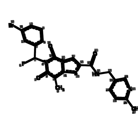 Cc1c(=O)n(C(F)c2cccc(Br)c2)c(=O)n2cc(C(=O)NCc3ccc(O)nc3)sc12